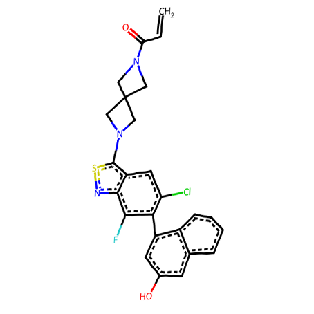 C=CC(=O)N1CC2(C1)CN(c1snc3c(F)c(-c4cc(O)cc5ccccc45)c(Cl)cc13)C2